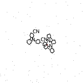 N#Cc1ccc2c3ccccc3n(-c3ccc(-c4cccc(-n5c6ccccc6c6cccc(-n7c8ccccc8c8ccccc87)c65)c4C#N)cc3)c2c1